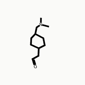 CN(C)CC1CCC(CC=O)CC1